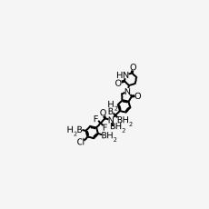 Bc1cc(C(F)(F)C(=O)N(B)C(B)(B)c2ccc3c(c2)CN(C2CCC(=O)NC2=O)C3=O)c(B)cc1Cl